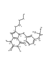 CCCOCc1nc2c(c(=O)n(C)c(=O)n2C)n1Cc1cccc(OC(F)(F)F)c1